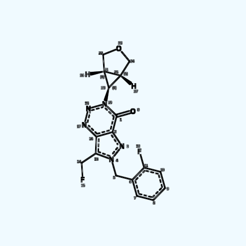 O=c1c2nn(Cc3ccccc3F)c(CF)c2nnn1[C@H]1[C@@H]2COC[C@@H]21